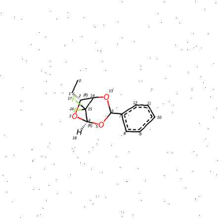 CC[C@H]1O[C@@H]2OC(c3ccccc3)OC1C2(F)F